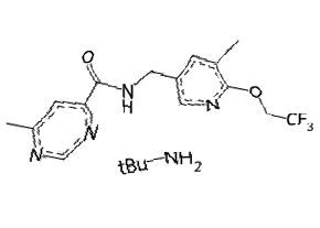 CC(C)(C)N.Cc1cc(C(=O)NCc2cnc(OCC(F)(F)F)c(C)c2)ncn1